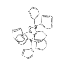 c1ccc([Si](O[Si](c2ccccc2)(c2ccccc2)c2ccccc2)O[Si](c2ccccc2)(c2ccccc2)c2ccccc2)cc1